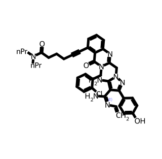 C=C/N=C(/N)c1c(-c2ccc(O)cc2)nn(Cc2nc3cccc(C#CCCCC(=O)N(CCC)CCC)c3c(=O)n2Cc2ccccc2Cl)c1N